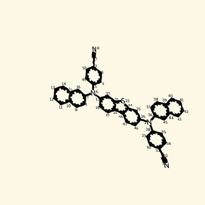 N#Cc1ccc(N(c2ccc3ccccc3c2)c2ccc3c(c2)sc2cc(N(c4ccc(C#N)cc4)c4ccc5ccccc5c4)ccc23)cc1